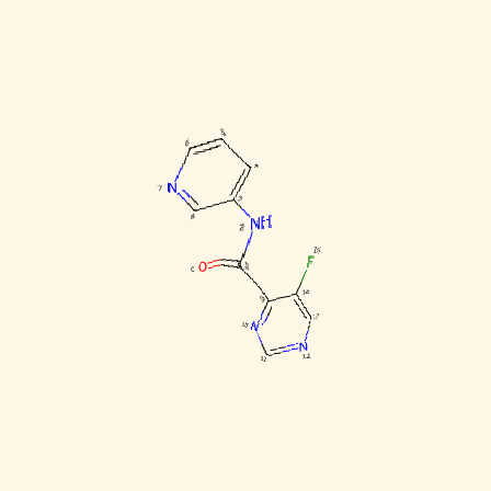 O=C(Nc1cccnc1)c1ncncc1F